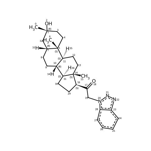 C[C@@]1(O)CC[C@@]2(C)[C@H](CC[C@@H]3[C@@H]2CC[C@]2(C)[C@@H](C(=O)Cn4nnc5ccccc54)CC[C@@H]32)C1